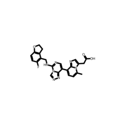 Cc1ccc(-c2cnc(NCc3c(F)ccc4c3CCO4)n3cnnc23)c2ncc(CC(=O)O)n12